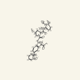 CC(=O)c1nn(CC(=O)N2C[C@H](F)C[C@H]2C(=O)Nc2cccc(Br)[n+]2[O-])c2ccc(C3(C)N=CC=C[NH+]3[O-])cc12